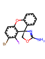 NC1=N[C@@]2(CO1)c1ccccc1Oc1ccc(Br)c(I)c12